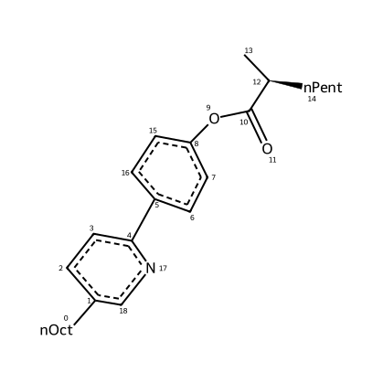 CCCCCCCCc1ccc(-c2ccc(OC(=O)[C@@H](C)CCCCC)cc2)nc1